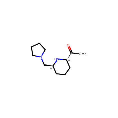 COC(=O)[C@@H]1CCC[C@@H](CN2CCCC2)N1